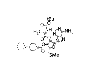 CSC[C@H]1O[C@@H](n2cnc3c(N)ncnc32)[C@H](OC(=O)[C@@H](C)NC(=O)OC(C)(C)C)[C@@H]1OC(=O)N1CCC(N2CCCCC2)CC1